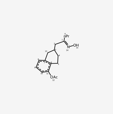 CCCC(CC1CCc2c(cccc2OC(C)=O)C1)=NO